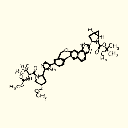 COC[C@H]1CC(c2ncc(-c3ccc4c(c3)COc3cc5c(ccc6nc([C@@H]7C[C@H]8C[C@H]8N7C(=O)OC(C)(C)C)[nH]c65)cc3-4)[nH]2)N(C(=O)[C@@H](NC(=O)OC)C(C)C)C1